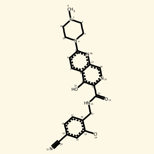 CN1CCN(c2ccc3c(O)c(C(=O)NCc4ccc(C#N)cc4Cl)ncc3n2)CC1